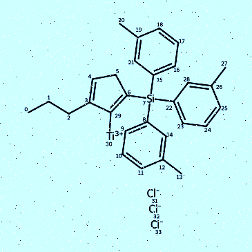 CCCC1=CCC([Si](c2cccc(C)c2)(c2cccc(C)c2)c2cccc(C)c2)=[C]1[Ti+3].[Cl-].[Cl-].[Cl-]